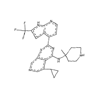 CC1(Nc2nc(-c3ccnc4[nH]c(C(F)(F)F)cc34)nc3cncc(C4CC4)c23)CCNCC1